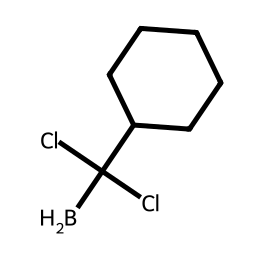 BC(Cl)(Cl)C1CCCCC1